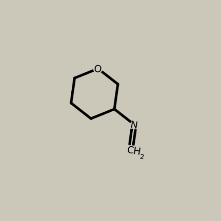 C=NC1CCCOC1